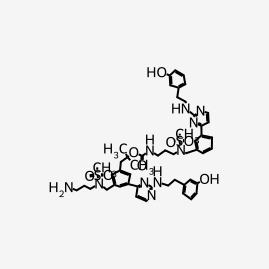 CC(C)(Cc1cc(CN(CCCN)S(C)(=O)=O)cc(-c2ccnc(NCCc3cccc(O)c3)n2)c1)OC(=O)NCCCN(Cc1cccc(-c2ccnc(NCCc3cccc(O)c3)n2)c1)S(C)(=O)=O